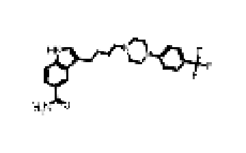 NC(=O)c1ccc2[nH]cc(CCCCN3CCN(c4ccc(C(F)(F)F)cc4)CC3)c2c1